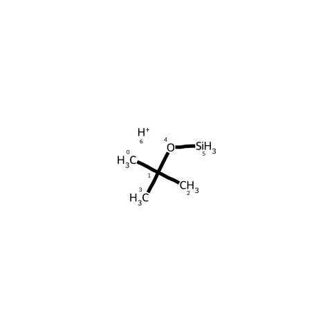 CC(C)(C)O[SiH3].[H+]